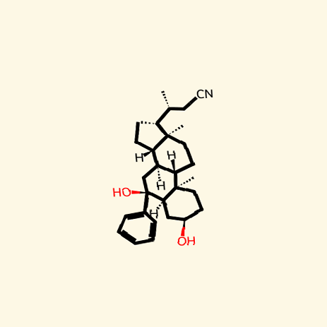 C[C@H](CC#N)[C@H]1CC[C@H]2[C@@H]3C[C@@](O)(c4ccccc4)[C@@H]4C[C@H](O)CC[C@]4(C)[C@H]3CC[C@]12C